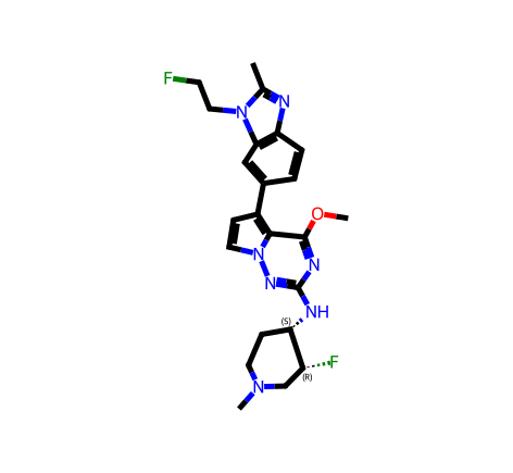 COc1nc(N[C@H]2CCN(C)C[C@H]2F)nn2ccc(-c3ccc4nc(C)n(CCF)c4c3)c12